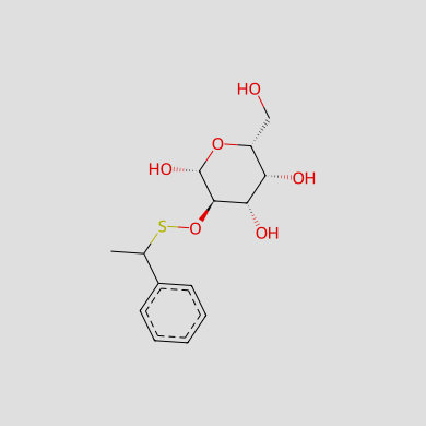 CC(SO[C@@H]1[C@@H](O)[C@@H](O)[C@@H](CO)O[C@H]1O)c1ccccc1